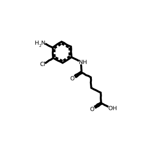 Nc1ccc(NC(=O)CCCC(=O)O)cc1Cl